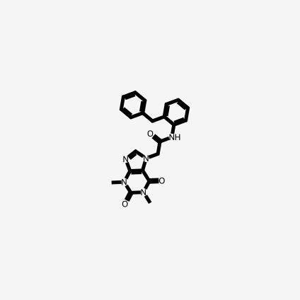 Cn1c(=O)c2c(ncn2CC(=O)Nc2ccccc2Cc2ccccc2)n(C)c1=O